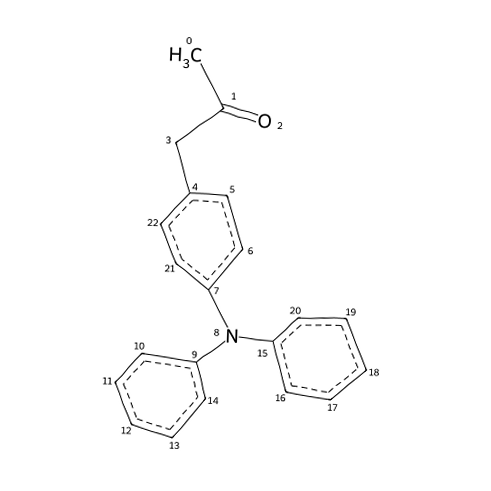 CC(=O)Cc1ccc(N(c2ccccc2)c2ccccc2)cc1